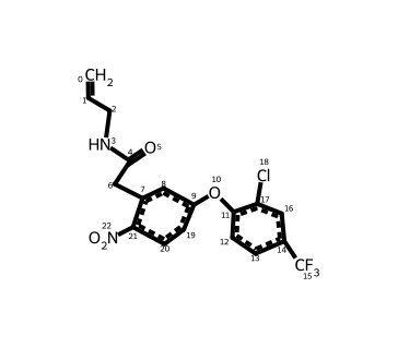 C=CCNC(=O)Cc1cc(Oc2ccc(C(F)(F)F)cc2Cl)ccc1[N+](=O)[O-]